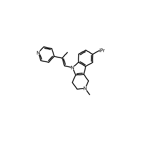 CC(=Cn1c2c(c3cc(C(C)C)ccc31)CN(C)CC2)c1ccncc1